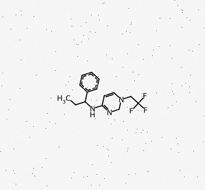 CCC(NC1=NCN(CC(F)(F)F)C=C1)c1ccccc1